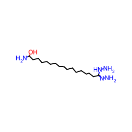 N/N=C(/CCCCCCCCCCCCCCCC(N)O)NN